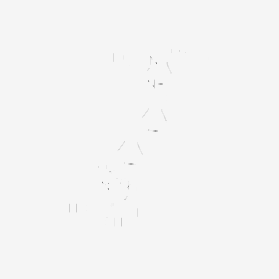 COc1cc(Oc2ccc(-c3ccc(S(=O)(=O)N[C@@H](C(=O)O)C(C)C)cc3)cc2)nc(OC)n1